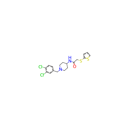 O=C(CSc1cccs1)NC1CCN(Cc2ccc(Cl)c(Cl)c2)CC1